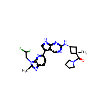 Cc1nc2ccc(-c3c[nH]c4nc(N[C@H]5C[C@@](C)(C(=O)N6CCCC6)C5)ncc34)nc2n1CC(F)F